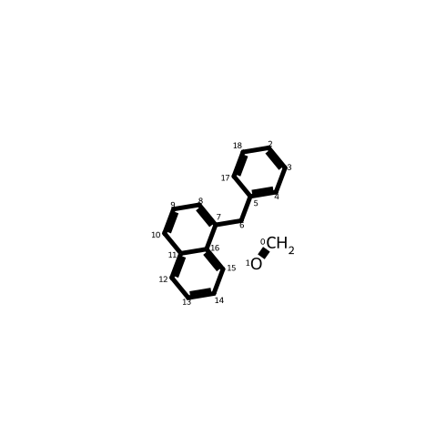 C=O.c1ccc(Cc2cccc3ccccc23)cc1